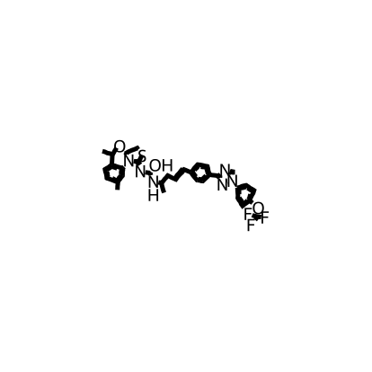 Cc1ccc(C(C)C)c(N2C(=O)CS/C2=N\C(O)NC(C)C/C=C/c2ccc(-c3ncn(-c4ccc(OC(F)(F)F)cc4)n3)cc2)c1